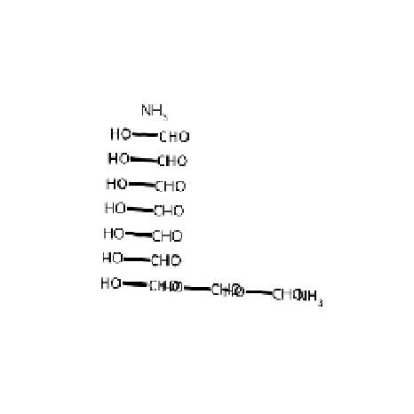 N.N.O=CO.O=CO.O=CO.O=CO.O=CO.O=CO.O=CO.O=CO.O=CO